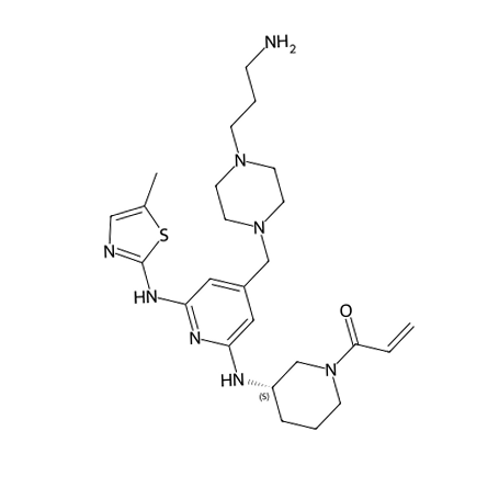 C=CC(=O)N1CCC[C@H](Nc2cc(CN3CCN(CCCN)CC3)cc(Nc3ncc(C)s3)n2)C1